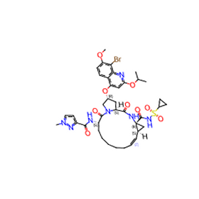 COc1ccc2c(O[C@@H]3C[C@H]4C(=O)N[C@]5(C(=O)NS(=O)(=O)C6CC6)C[C@H]5/C=C\CCCCC[C@H](NC(=O)c5ccn(C)n5)C(=O)N4C3)cc(OC(C)C)nc2c1Br